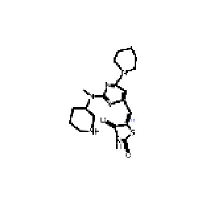 CN(c1nc(/C=C2/SC(=O)NC2=O)cc(N2CCCCC2)n1)C1CCCNC1